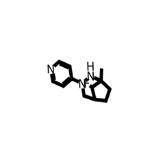 CC12CCC(CN(c3ccncc3)N1)C2F